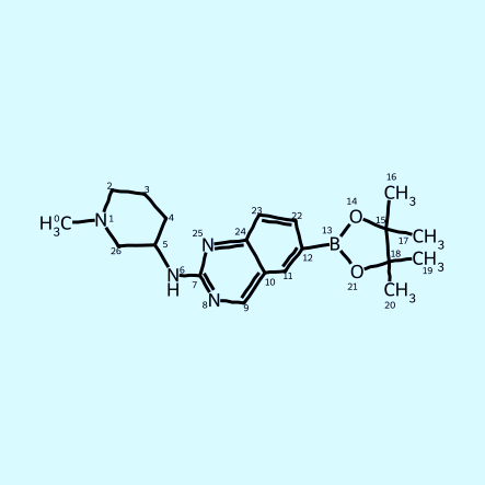 CN1CCCC(Nc2ncc3cc(B4OC(C)(C)C(C)(C)O4)ccc3n2)C1